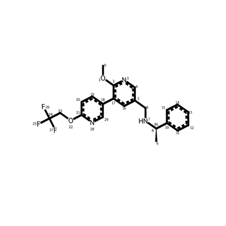 COc1ncc(CN[C@H](C)c2ccccc2)cc1-c1ccc(OCC(F)(F)F)nc1